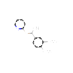 COc1ccc(C(C#N)Sc2ccccn2)cc1OC